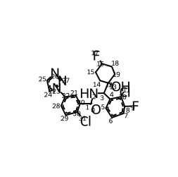 O=C(NC(c1cccc(F)c1Cl)[C@]1(O)CC[C@@H](F)CC1)c1cc(-n2ccnn2)ccc1Cl